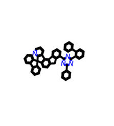 c1ccc(-c2nc(-c3ccccc3-c3ccccc3)nc(-c3cccc4c3Cc3ccc5c(c3-4)-c3cccnc3C53c4ccccc4-c4ccccc43)n2)cc1